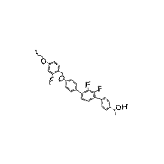 C=CCOc1ccc(COc2ccc(-c3ccc(-c4ccc(C(C)O)cc4)c(F)c3F)cc2)c(F)c1